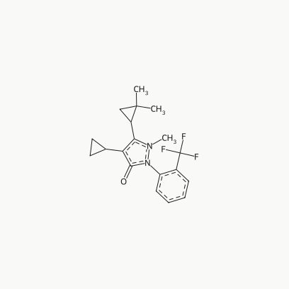 Cn1c(C2CC2(C)C)c(C2CC2)c(=O)n1-c1ccccc1C(F)(F)F